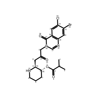 CC(C)C(=O)O[C@@H]1CCCN[C@H]1CC(=O)Cn1cnc2cc(Br)c(Cl)cc2c1=O